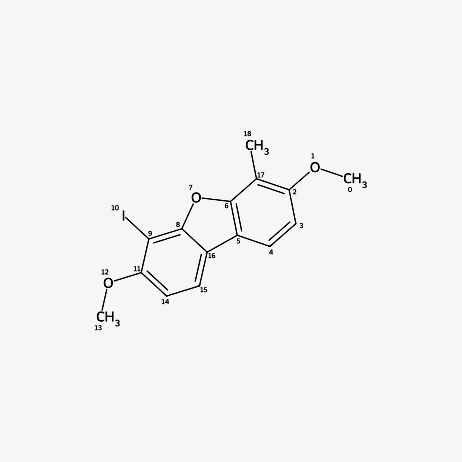 COc1ccc2c(oc3c(I)c(OC)ccc32)c1C